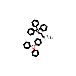 CCCC[B-](c1ccccc1)(c1ccccc1)c1ccccc1.c1ccc([O+](c2ccccc2)c2ccccc2)cc1